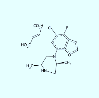 C[C@H]1CN(c2cc(Cl)c(F)c3ccoc23)[C@@H](C)CN1.O=C(O)C=CC(=O)O